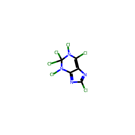 ClC1=NC2=C(Cl)N(Cl)C(Cl)(Cl)N(Cl)C2=N1